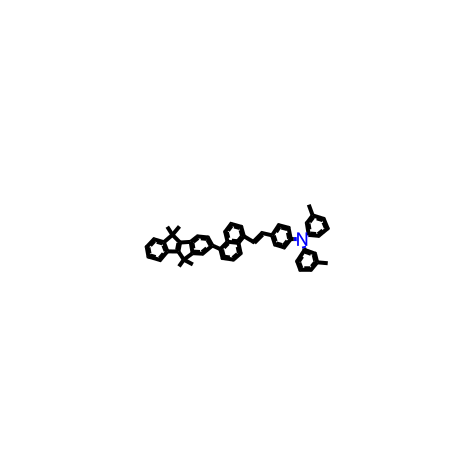 Cc1cccc(N(c2ccc(/C=C/c3cccc4c(-c5ccc6c(c5)C(C)(C)C5=C6C(C)(C)c6ccccc65)cccc34)cc2)c2cccc(C)c2)c1